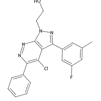 Cc1cc(F)cc(-c2nn(CCO)c3nnc(-c4ccccc4)c(Cl)c23)c1